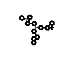 CC1(C)c2ccccc2-c2cc(-c3ccc(N(c4cccc(-c5cccc6c5ccc5ccccc56)c4)c4cccc(-c5cccc6c5c5ccccc5n6C5C=CC=CC5)c4)cc3)ccc21